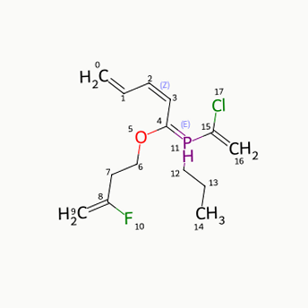 C=C/C=C\C(OCCC(=C)F)=[PH](\CCC)C(=C)Cl